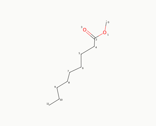 [CH2]OC(=O)CCCCCCCC